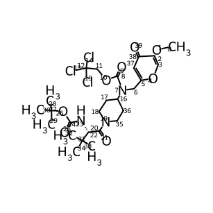 COc1coc(CN(C(=O)OCC(Cl)(Cl)Cl)C2CCN(C(=O)[C@@H](NC(=O)OC(C)(C)C)C(C)(C)C)CC2)cc1=O